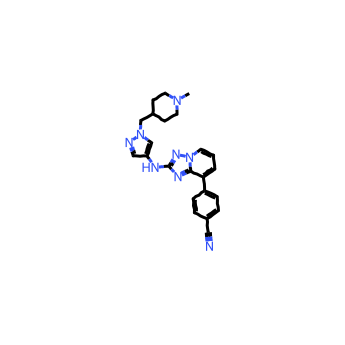 CN1CCC(Cn2cc(Nc3nc4c(-c5ccc(C#N)cc5)cccn4n3)cn2)CC1